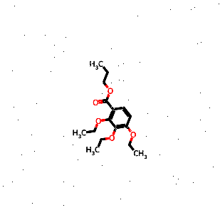 CCCOC(=O)c1ccc(OCC)c(OCC)c1OCC